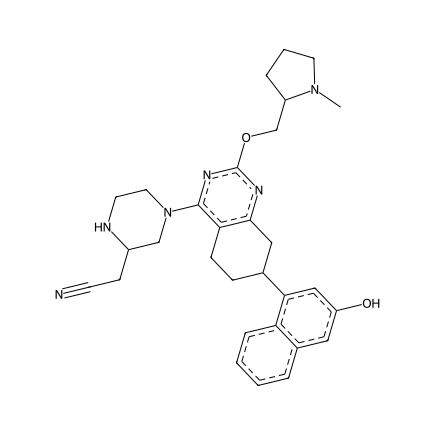 CN1CCCC1COc1nc2c(c(N3CCNC(CC#N)C3)n1)CCC(c1cc(O)cc3ccccc13)C2